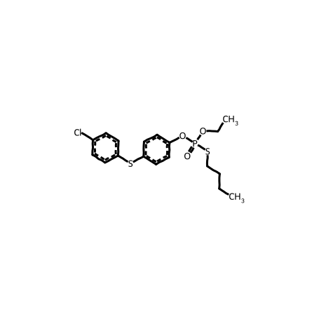 CCCCSP(=O)(OCC)Oc1ccc(Sc2ccc(Cl)cc2)cc1